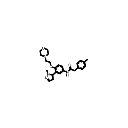 Cc1ccc(CC(=O)Nc2ccc(OCCN3CCOCC3)c(C3CC=NN3C)c2)cc1